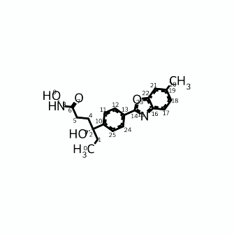 CC[C@@](O)(CCC(=O)NO)c1ccc(-c2nc3ccc(C)cc3o2)cc1